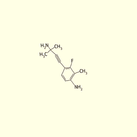 Cc1c(N)ccc(C#CC(C)(C)N)c1F